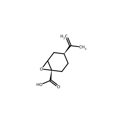 C=C(C)[C@H]1CC[C@]2(C(=O)O)OC2C1